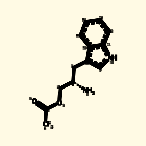 N[C@H](COC(=O)C(F)(F)F)Cc1c[nH]c2ccccc12